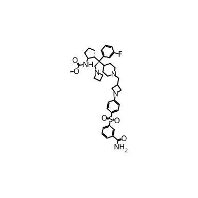 COC(=O)N[C@H]1CCC[C@@H]1[C@](CN1CCC1)(c1cccc(F)c1)C1CCN(CC2CN(c3ccc(S(=O)(=O)c4cccc(C(N)=O)c4)cc3)C2)CC1